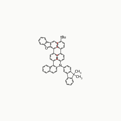 CC(C)(C)c1ccc(-c2ccc(N(c3ccc4c(c3)-c3ccccc3C4(C)C)c3ccc4ccccc4c3-c3ccc(-c4cccc5c4oc4ccccc45)cc3)cc2)cc1